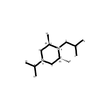 CC(C)CN1[C@H](C)CN(C(C)C)C[C@H]1C